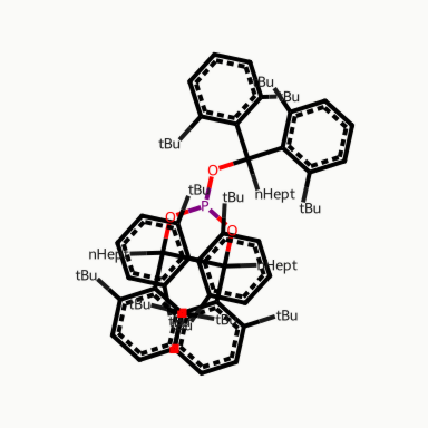 CCCCCCCC(OP(OC(CCCCCCC)(c1c(C(C)(C)C)cccc1C(C)(C)C)c1c(C(C)(C)C)cccc1C(C)(C)C)OC(CCCCCCC)(c1c(C(C)(C)C)cccc1C(C)(C)C)c1c(C(C)(C)C)cccc1C(C)(C)C)(c1c(C(C)(C)C)cccc1C(C)(C)C)c1c(C(C)(C)C)cccc1C(C)(C)C